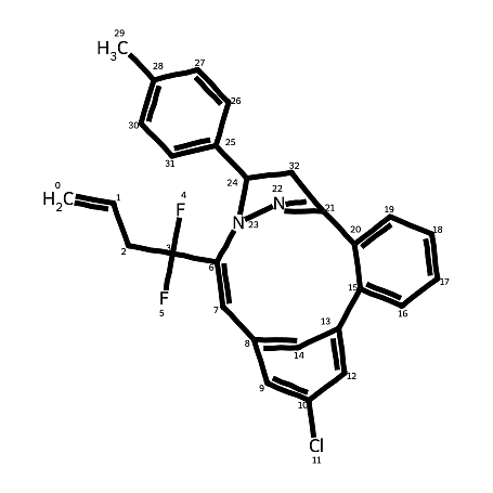 C=CCC(F)(F)C1=Cc2cc(Cl)cc(c2)-c2ccccc2C2=NN1C(c1ccc(C)cc1)C2